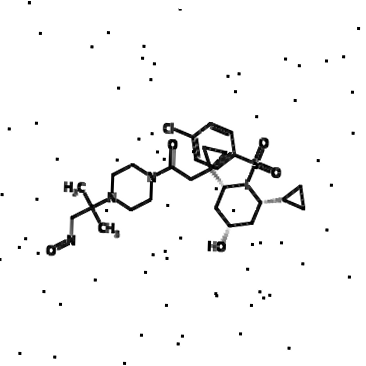 CC(C)(CN=O)N1CCN(C(=O)CC2([C@H]3C[C@@H](O)C[C@@H](C4CC4)I3S(=O)(=O)c3ccc(Cl)cc3)CC2)CC1